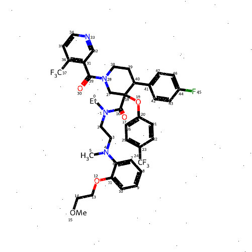 CCN(CCN(C)c1ccccc1OCCOC)C(=O)C1(Oc2ccc(C(F)(F)F)cc2)CN(C(=O)c2cnccc2C(F)(F)F)CCC1c1ccc(F)cc1